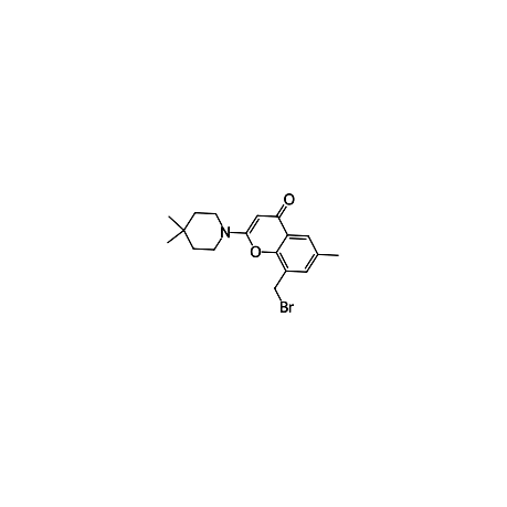 Cc1cc(CBr)c2oc(N3CCC(C)(C)CC3)cc(=O)c2c1